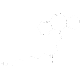 CN(CCC=C1c2ccccc2C=Cc2ccccc21)CCCCCC(=O)O